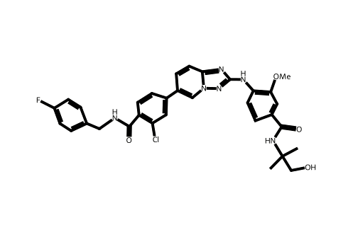 COc1cc(C(=O)NC(C)(C)CO)ccc1Nc1nc2ccc(-c3ccc(C(=O)NCc4ccc(F)cc4)c(Cl)c3)cn2n1